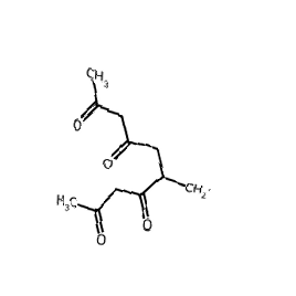 [CH2]C(CC(=O)CC(C)=O)C(=O)CC(C)=O